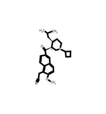 COc1ccc2cc(C(=O)[C@@H]3CN(C4CCC4)CC[C@@H]3CC(C)C)ccc2c1CC#N